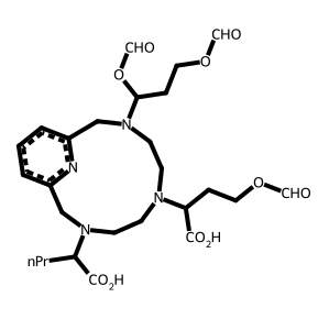 CCCC(C(=O)O)N1CCN(C(CCOC=O)C(=O)O)CCN(C(CCOC=O)OC=O)Cc2cccc(n2)C1